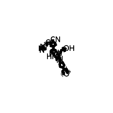 C[C@@H]1CN(C2CCC(n3cc(Nc4ncc(-c5ccc(C#N)c(O[C@@H](C)Cn6cnnn6)c5)cn4)c(OCCC(C)(C)O)n3)CC2)C[C@H](C)O1